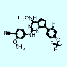 CNC1N=C(Nc2ccc(C#N)c(OC)c2)N=C2C1=CCC2c1ccc(OC(F)(F)F)cc1F